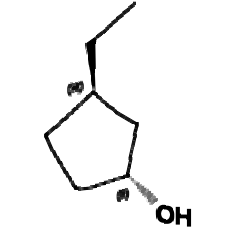 CC[C@@H]1CC[C@@H](O)C1